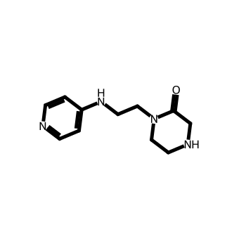 O=C1CNCCN1CCNc1ccncc1